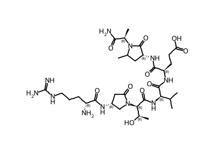 CC(C)[C@@H](NC(=O)[C@@H]([C@@H](C)O)N1C[C@H](NC(=O)[C@H](N)CCCNC(=N)N)CC1=O)C(=O)N[C@H](CCC(=O)O)C(=O)N[C@@H]1CC(C)N([C@H](C)C(N)=O)C1=O